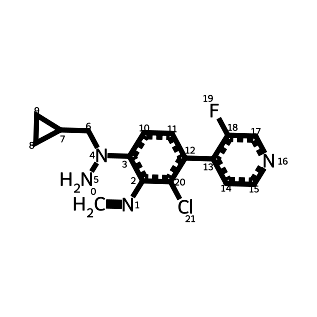 C=Nc1c(N(N)CC2CC2)ccc(-c2ccncc2F)c1Cl